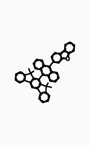 CC1(C)c2ccccc2-c2cc3c(c(-c4c5ccccc5c(-c5ccc6c(c5)oc5ccccc56)c5ccccc45)c21)C(C)(C)c1ccccc1-3